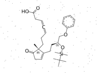 CC(C)(C)[Si](C)(C)O[C@@H](CCC1=CCC(=O)[C@]1(C)CCC=C=CCC(=O)O)COc1ccccc1